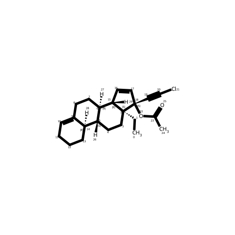 CC[C@]12CC[C@H]3[C@@H](CCC4=CCCC[C@@H]43)[C@@H]1C=C[C@]2(C#CCl)OC(C)=O